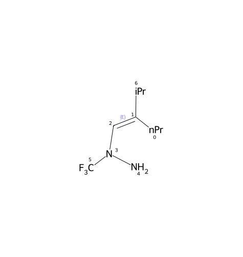 CCC/C(=C\N(N)C(F)(F)F)C(C)C